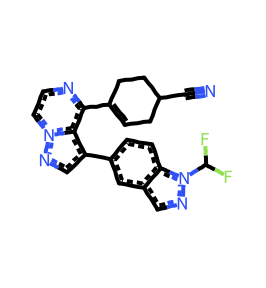 N#CC1CC=C(c2nccn3ncc(-c4ccc5c(cnn5C(F)F)c4)c23)CC1